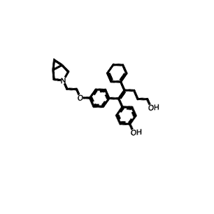 OCCC/C(C1=CCCC=C1)=C(\c1ccc(O)cc1)c1ccc(OCCN2CC3CC3C2)cc1